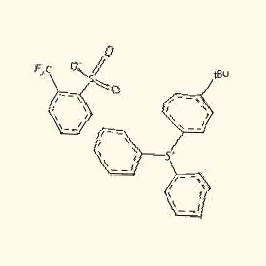 CC(C)(C)c1ccc([S+](c2ccccc2)c2ccccc2)cc1.O=S(=O)([O-])c1ccccc1C(F)(F)F